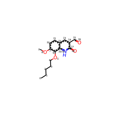 CCCCCOc1c(OC)ccc2cc([C]=O)c(=O)[nH]c12